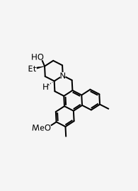 CC[C@@]1(O)CCN2Cc3c(c4cc(OC)c(C)cc4c4cc(C)ccc34)C[C@H]2C1